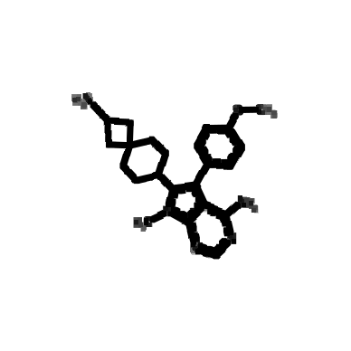 COc1ccc(-c2c(C3CCC4(CC3)CC(N)C4)n(C)c3ncnc(N)c23)cc1